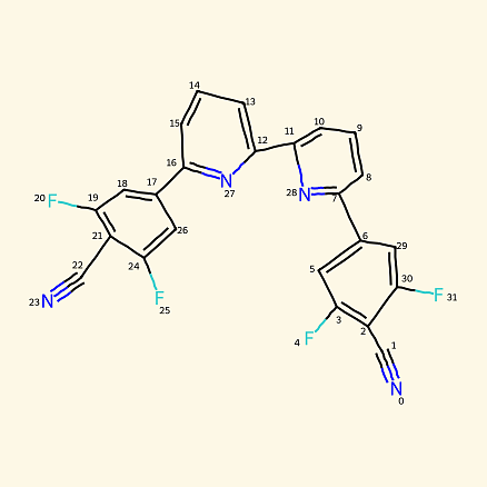 N#Cc1c(F)cc(-c2cccc(-c3cccc(-c4cc(F)c(C#N)c(F)c4)n3)n2)cc1F